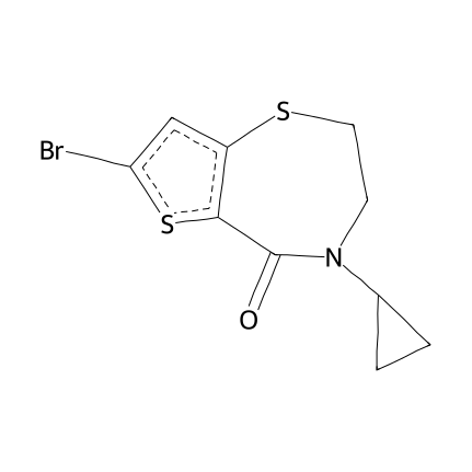 O=C1c2sc(Br)cc2SCCN1C1CC1